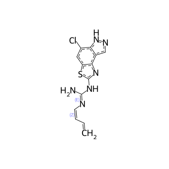 C=C/C=C\N=C(/N)Nc1nc2c(cc(Cl)c3[nH]ncc32)s1